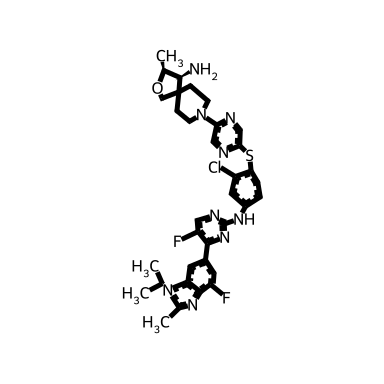 Cc1nc2c(F)cc(-c3nc(Nc4ccc(Sc5cnc(N6CCC7(CC6)CO[C@@H](C)[C@H]7N)cn5)c(Cl)c4)ncc3F)cc2n1C(C)C